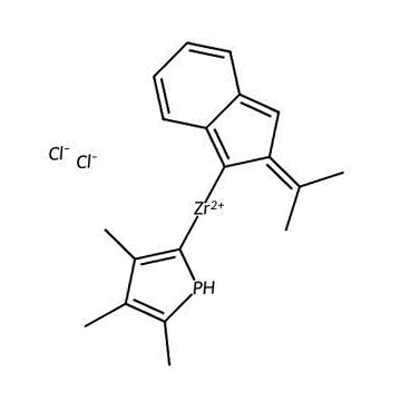 CC(C)=C1C=c2ccccc2=[C]1[Zr+2][c]1[pH]c(C)c(C)c1C.[Cl-].[Cl-]